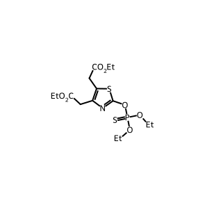 CCOC(=O)Cc1nc(OP(=S)(OCC)OCC)sc1CC(=O)OCC